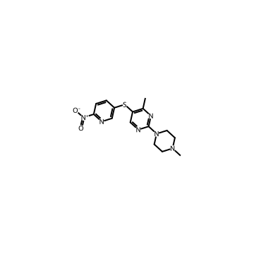 Cc1nc(N2CCN(C)CC2)ncc1Sc1ccc([N+](=O)[O-])nc1